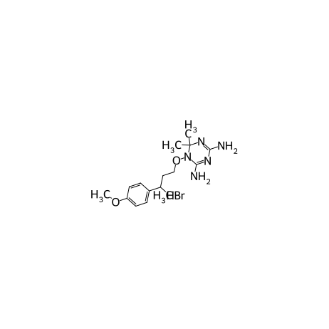 Br.COc1ccc(C(C)CCON2C(N)=NC(N)=NC2(C)C)cc1